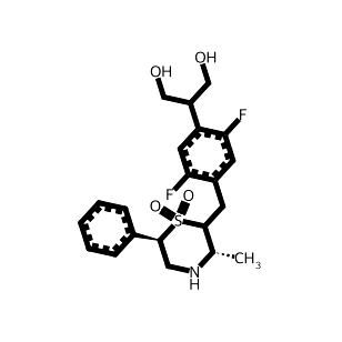 C[C@@H]1NC[C@@H](c2ccccc2)S(=O)(=O)C1Cc1cc(F)c(C(CO)CO)cc1F